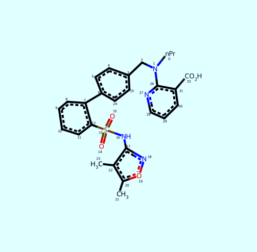 CCCN(Cc1ccc(-c2ccccc2S(=O)(=O)Nc2noc(C)c2C)cc1)c1ncccc1C(=O)O